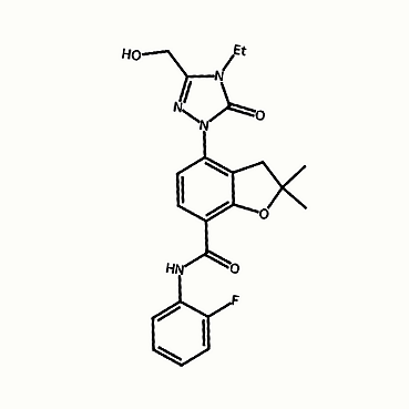 CCn1c(CO)nn(-c2ccc(C(=O)Nc3ccccc3F)c3c2CC(C)(C)O3)c1=O